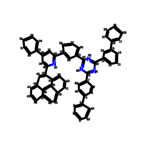 c1ccc(-c2ccc(-c3nc(-c4cccc(-c5ccccc5)c4)nc(-c4cccc(-c5cc(-c6ccccc6)cc(-c6cc7cccc8ccc9cccc6c9c87)n5)c4)n3)cc2)cc1